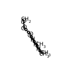 C=CC(=O)OCCCCOC(=O)C1CCC(C2CCC(C(=O)Oc3ccc(N=Nc4ccc(N=Nc5ccc(N=Nc6ccc(N(C)C)cc6)cc5C)cc4)cc3)CC2)CC1